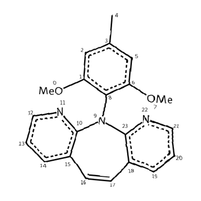 COc1cc(C)cc(OC)c1N1c2ncccc2C=Cc2cccnc21